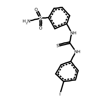 NS(=O)(=O)c1cccc(NC(=S)Nc2ccc(I)cc2)c1